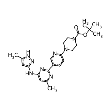 Cc1cc(Nc2cc(C)[nH]n2)nc(-c2ccc(N3CCN(C(=O)OC(C)(C)C)CC3)nc2)n1